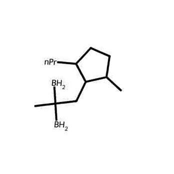 BC(B)(C)CC1C(C)CCC1CCC